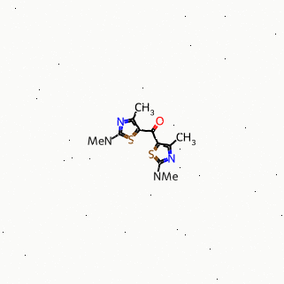 CNc1nc(C)c(C(=O)c2sc(NC)nc2C)s1